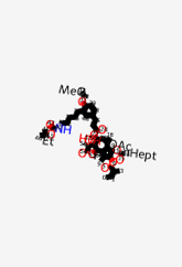 C/C=C(/C)C(=O)OC1C(C)=C2[C@H]([C@@H]1OC(=O)CCCCCCC)[C@@](C)(OC(C)=O)CC(OC(=O)CCc1ccc(OCOC)c(CCCCCNC(=O)OC(C)(C)CC)c1)[C@@]1(O)[C@H]2OC(=O)[C@@]1(C)O